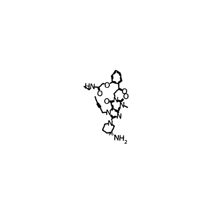 CC#CCn1c(N2CCC[C@@H](N)C2)nc2c1c(=O)n(CC(=O)c1ccccc1OCC(=O)NCC)c(=O)n2C